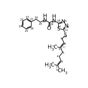 CC(C)=CCC/C(C)=C/CSc1nnc(NC(=O)NCCc2ccccc2)s1